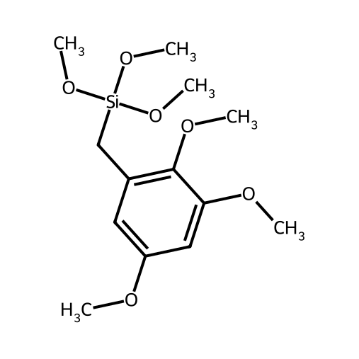 COc1cc(C[Si](OC)(OC)OC)c(OC)c(OC)c1